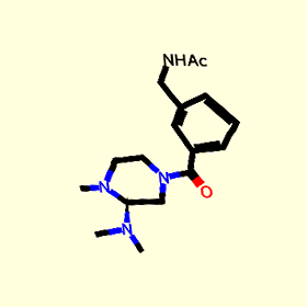 CC(=O)NCc1cccc(C(=O)N2CCN(C)[C@H](N(C)C)C2)c1